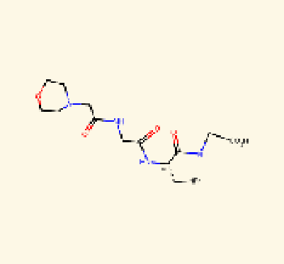 CC(C)C[C@H](NC(=O)CNC(=O)CN1CCOCC1)C(=O)NCC(=O)O